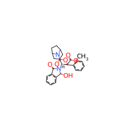 COC(=O)C[C@H](C1CC2CCC(C1)N2C(=O)OCc1ccccc1)N1C(=O)c2ccccc2C1O